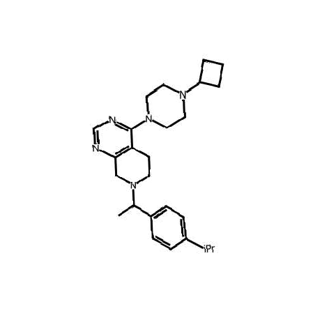 CC(C)c1ccc(C(C)N2CCc3c(ncnc3N3CCN(C4CCC4)CC3)C2)cc1